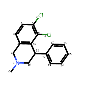 CN1Cc2ccc(Cl)c(Cl)c2C(c2ccccc2)C1